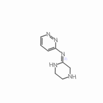 c1cnnc(/N=C2/CNCCN2)c1